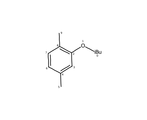 CCC(C)Oc1cc(C)ccc1C